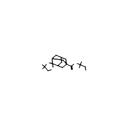 CC1(C)COC2(O1)C1CC3CC2CC(C(=O)OC(CS(=O)(=O)O)(C(F)(F)F)C(F)(F)F)(C3)C1